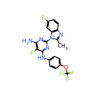 Cc1nc2ccc(F)cc2n1-c1nc(N)c(F)c(Nc2ccc(OC(F)(F)F)cc2)n1